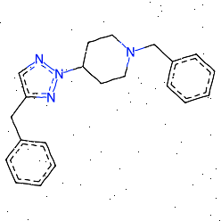 c1ccc(Cc2cnn(C3CCN(Cc4ccccc4)CC3)n2)cc1